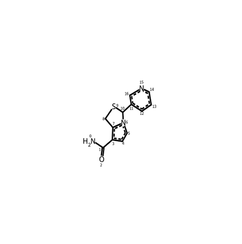 NC(=O)c1ccn2c1CSC2c1cccnc1